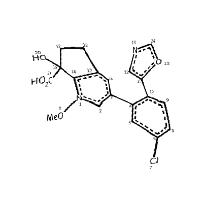 CO[n+]1cc(-c2cc(Cl)ccc2-c2cnco2)cc2c1C(O)(C(=O)O)CC2